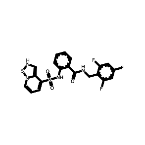 O=C(NCc1c(F)cc(F)cc1F)c1ccccc1NS(=O)(=O)C1=CC=CN2SNC=C12